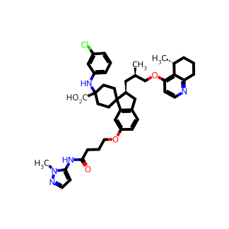 C[C@@H](COc1ccnc2c1[C@H](C)CCC2)C[C@H]1Cc2ccc(OCCCC(=O)Nc3ccnn3C)cc2C12CCC(Nc1cccc(Cl)c1)(C(=O)O)CC2